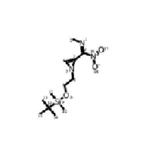 C/N=C(\C1=CN1CCO[Si](C)(C)C(C)(C)C)[N+](=O)[O-]